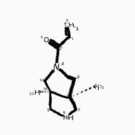 C=CC(=O)N1C[C@H]2CNC[C@H]2C1